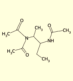 CCC(NC(C)=O)C(C)N(C(C)=O)C(C)=O